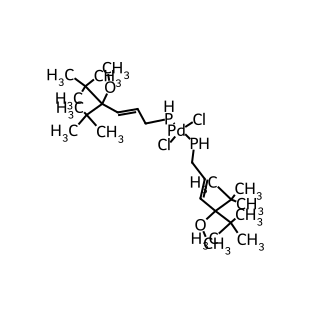 COC(C=CC[PH][Pd]([Cl])([Cl])[PH]CC=CC(OC)(C(C)(C)C)C(C)(C)C)(C(C)(C)C)C(C)(C)C